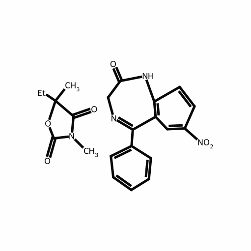 CCC1(C)OC(=O)N(C)C1=O.O=C1CN=C(c2ccccc2)c2cc([N+](=O)[O-])ccc2N1